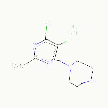 CNc1nc(Cl)c(Cl)c(N2CCNCC2)n1.Cl.Cl